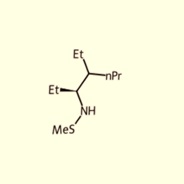 CCCC(CC)[C@H](CC)NSC